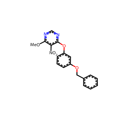 COc1ncnc(Oc2cccc(OCc3ccccc3)c2)c1[N+](=O)[O-]